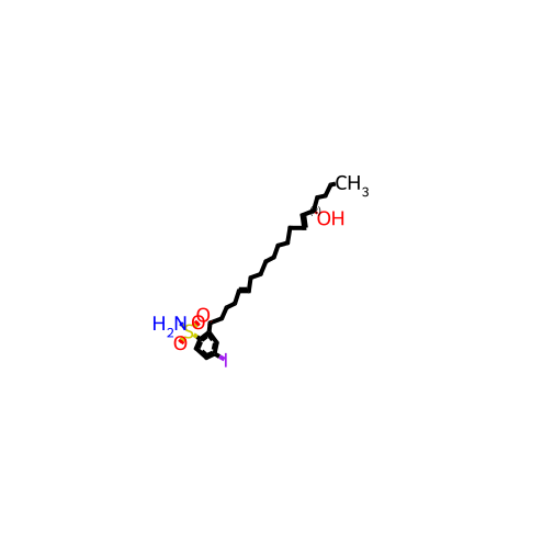 CCCC[C@@H](O)C=CCCCCCCCC=CCCCC(=O)c1cc(I)ccc1S(N)(=O)=O